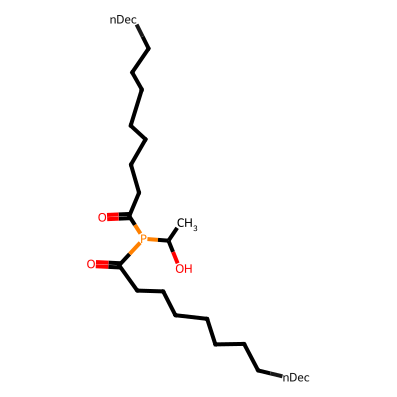 CCCCCCCCCCCCCCCCCC(=O)P(C(=O)CCCCCCCCCCCCCCCCC)C(C)O